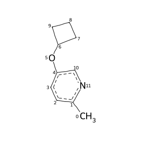 Cc1ccc(OC2CCC2)cn1